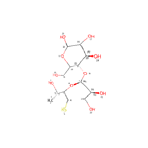 C[C@H](O)C(CS)O[C@@H](O[C@@H]1C(CO)OC(O)C(O)[C@H]1O)[C@@H](O)CO